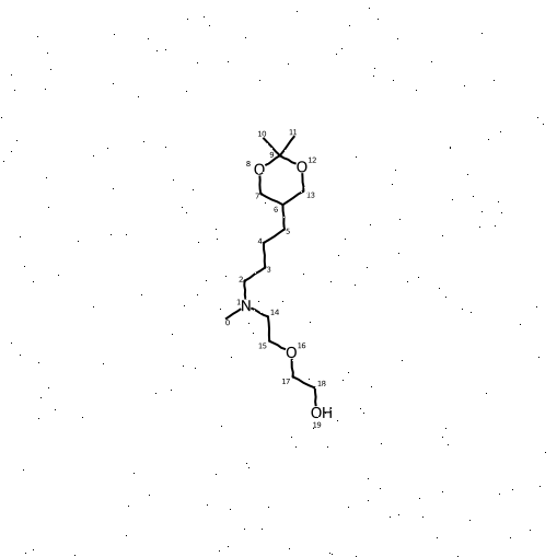 CN(CCCCC1COC(C)(C)OC1)CCOCCO